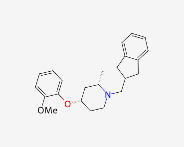 COc1ccccc1O[C@H]1CCN(CC2Cc3ccccc3C2)[C@@H](C)C1